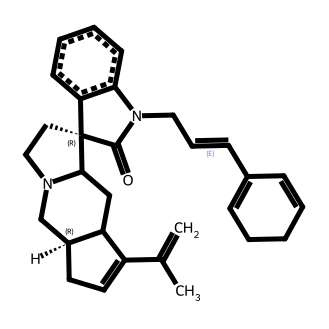 C=C(C)C1=CC[C@H]2CN3CC[C@]4(C(=O)N(C/C=C/C5=CCCC=C5)c5ccccc54)C3CC12